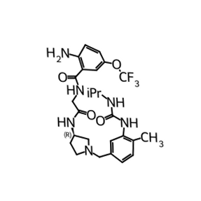 Cc1ccc(CN2CC[C@@H](NC(=O)CNC(=O)c3cc(OC(F)(F)F)ccc3N)C2)cc1NC(=O)NC(C)C